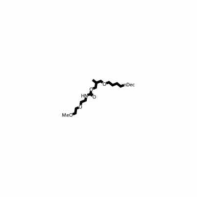 CCCCCCCCCCCCCCOCC(C)COC(=O)NCCOCCOC